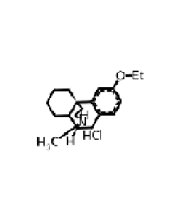 CCOc1ccc2c(c1)[C@@]13CCCC[C@@H]1[C@@H](C2)N(C)CC3.Cl